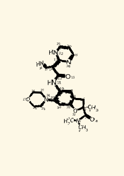 CN(C)C(=O)[C@]1(C)Cc2cc(NC(=O)/C(C=N)=C3\N=CC=CN3)c(N3CCOCC3)cc2O1